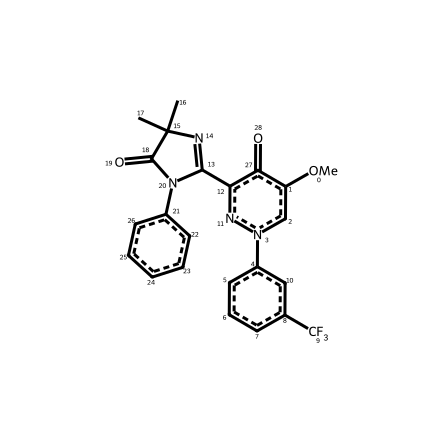 COc1cn(-c2cccc(C(F)(F)F)c2)nc(C2=NC(C)(C)C(=O)N2c2ccccc2)c1=O